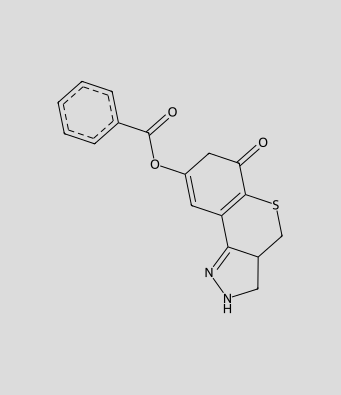 O=C1CC(OC(=O)c2ccccc2)=CC2=C1SCC1CNN=C21